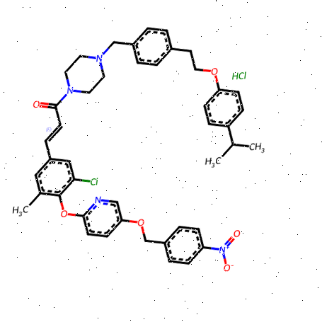 Cc1cc(/C=C/C(=O)N2CCN(Cc3ccc(CCOc4ccc(C(C)C)cc4)cc3)CC2)cc(Cl)c1Oc1ccc(OCc2ccc([N+](=O)[O-])cc2)cn1.Cl